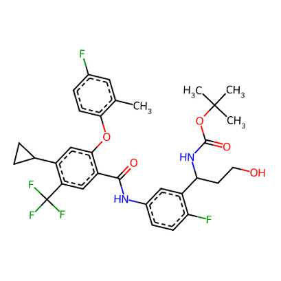 Cc1cc(F)ccc1Oc1cc(C2CC2)c(C(F)(F)F)cc1C(=O)Nc1ccc(F)c(C(CCO)NC(=O)OC(C)(C)C)c1